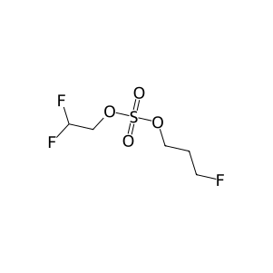 O=S(=O)(OCCCF)OCC(F)F